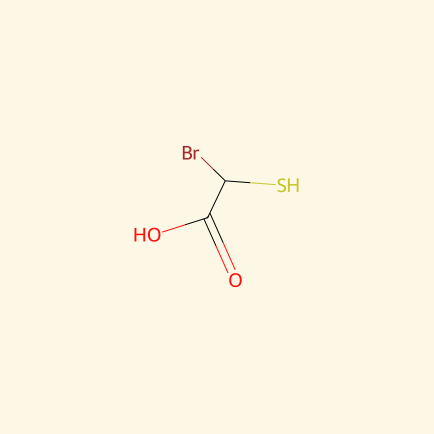 O=C(O)C(S)Br